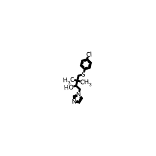 CC(C)(CSc1ccc(Cl)cc1)C(O)Cn1ccnc1